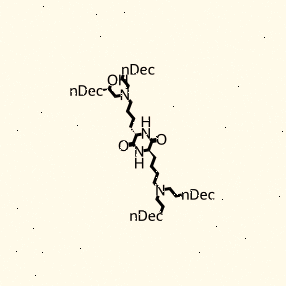 CCCCCCCCCCCCN(CCCCCCCCCCCC)CCCC[C@H]1NC(=O)[C@H](CCCCN(CCCCCCCCCCCC)C[C@H](O)CCCCCCCCCC)NC1=O